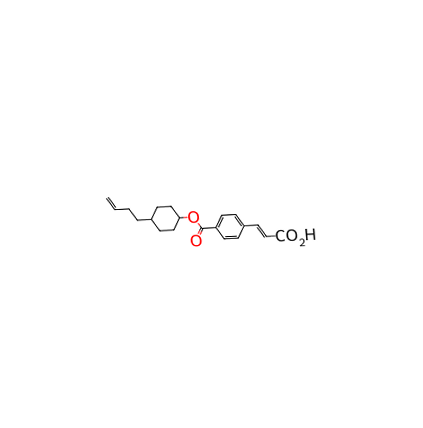 C=CCCC1CCC(OC(=O)c2ccc(C=CC(=O)O)cc2)CC1